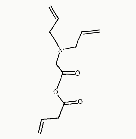 C=CCC(=O)OC(=O)CN(CC=C)CC=C